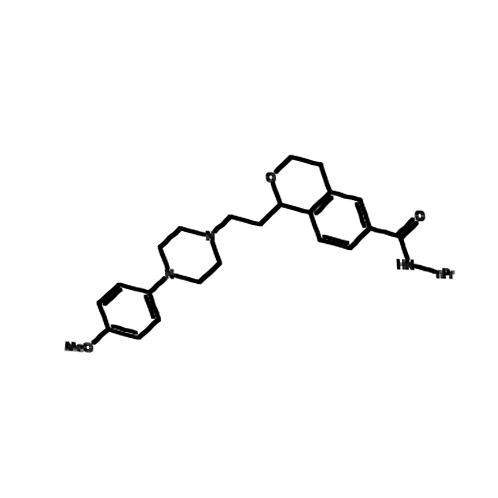 CCCNC(=O)c1ccc2c(c1)CCOC2CCN1CCN(c2ccc(OC)cc2)CC1